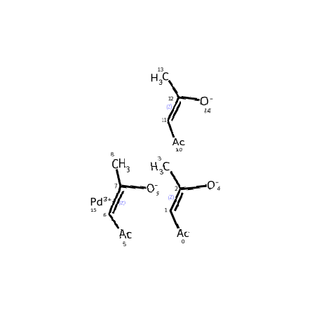 CC(=O)/C=C(/C)[O-].CC(=O)/C=C(/C)[O-].CC(=O)/C=C(/C)[O-].[Pd+3]